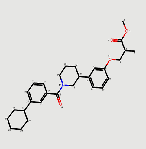 COC(=O)C(C)COc1cccc(C2CCCN(C(=O)c3cccc(C4CCCCC4)c3)C2)c1